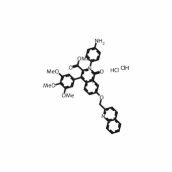 COC(=O)c1c(-c2cc(OC)c(OC)c(OC)c2)c2ccc(OCc3ccc4ccccc4n3)cc2c(=O)n1-c1ccc(N)cc1.Cl.Cl